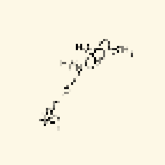 COc1cccc(OC)c1CN1CCC(N(C)CCCCOCCCCOS(C)(=O)=O)CC1